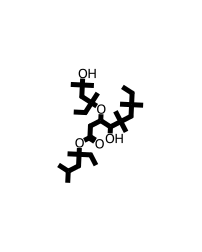 CCC(C)(C)CC(C)(C)C(O)C(CC(=O)OC(C)(CC)CC(C)C)OC(C)(CC)CC(C)(C)O